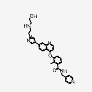 Cc1c(Oc2ccnc3cc(-c4cnn(CCNCCO)c4)ccc23)cccc1C(=O)NCc1ccncc1